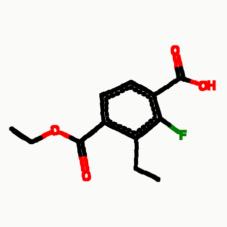 CCOC(=O)c1ccc(C(=O)O)c(F)c1CC